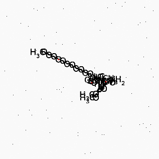 COCCOCCOCCOCCOCCOCCOCCOCCOCCOCCOCCN(CCC(=O)N[C@H](C(=O)N[C@@H](CCCNC(N)=O)C(=O)Nc1ccc(COC(=O)C(C)C)cc1)C(C)C)C(=O)CN1C(=O)C=CC1=O